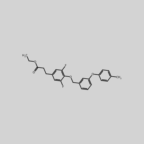 CCOC(=O)CCc1cc(F)c(OCc2cccc(Oc3ccc(C)cc3)c2)c(F)c1